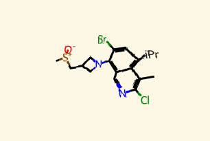 Cc1c(Cl)ncc2c(N3CC(C[S+](C)[O-])C3)c(Br)cc(C(C)C)c12